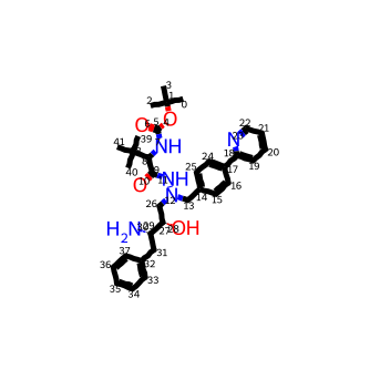 CC(C)(C)OC(=O)NC(C(=O)NN(Cc1ccc(-c2ccccn2)cc1)C[C@H](O)[C@@H](N)Cc1ccccc1)C(C)(C)C